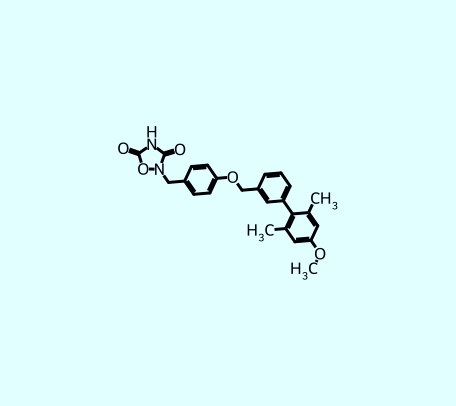 COc1cc(C)c(-c2cccc(COc3ccc(Cn4oc(=O)[nH]c4=O)cc3)c2)c(C)c1